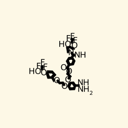 N=C(N)c1ccc(OCCOCc2ccccc2)c(OCCOC(=O)c2ccc(C(=N)N3CCCC3)cc2)c1.O=C(O)C(F)(F)F.O=C(O)C(F)(F)F